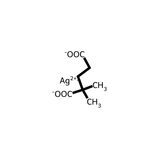 CC(C)(CCC(=O)[O-])C(=O)[O-].[Ag+2]